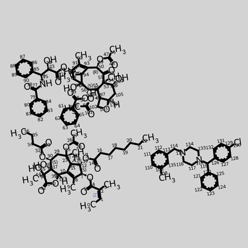 C/C=C(/C)C(=O)O[C@H]1C(C)=C2[C@H]([C@@H]1OC(=O)CCCCCCC)[C@@](C)(OC(C)=O)C[C@H](OC(=O)CCC)[C@@]1(O)[C@H]2OC(=O)[C@@]1(C)O.CC(=O)O[C@H]1C(=O)[C@@]2(C)[C@H]([C@H](OC(=O)c3ccccc3)[C@]3(O)C[C@H](OC(=O)[C@H](O)[C@@H](NC(=O)c4ccccc4)c4ccccc4)C(C)=C1C3(C)C)[C@]1(OC(C)=O)CO[C@@H]1C[C@@H]2O.Cc1cccc(CN2CCN(C(c3ccccc3)c3ccc(Cl)cc3)CC2)c1